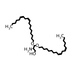 CCCCC/C=C\C/C=C\CCCCCCCCOC(OCCCCCCCC/C=C\C/C=C\CCCCC)[C@@H](N)CO